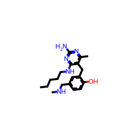 CCCCCNc1nc(N)nc(C)c1Cc1cc(CNC)ccc1O